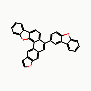 c1ccc2c(c1)oc1ccc(-c3cc4cc5occc5cc4c4c3ccc3c5ccccc5oc34)cc12